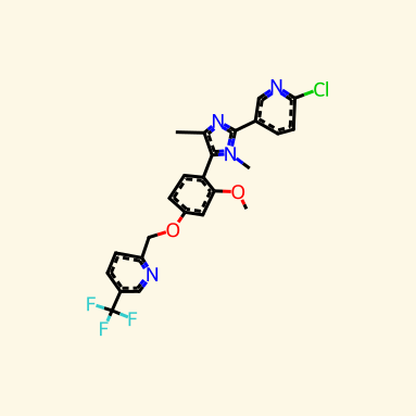 COc1cc(OCc2ccc(C(F)(F)F)cn2)ccc1-c1c(C)nc(-c2ccc(Cl)nc2)n1C